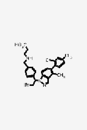 Cc1c(-c2ccc(C(F)(F)F)cc2Cl)ccc2c1cnn2C(CC(C)C)c1ccc(CNCCC(=O)O)cc1